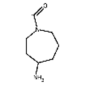 NC1CCCN([C]=O)CC1